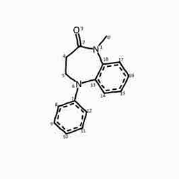 CN1C(=O)CCN(c2ccccc2)c2ccccc21